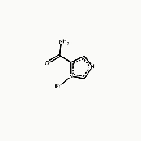 CC(C)n1cncc1C(N)=O